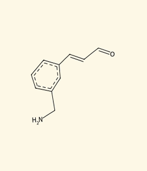 NCc1cccc(C=CC=O)c1